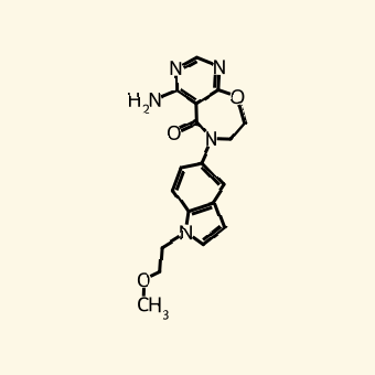 COCCn1ccc2cc(N3CCOc4ncnc(N)c4C3=O)ccc21